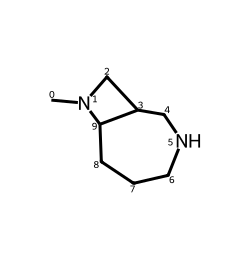 CN1CC2CNCCCC21